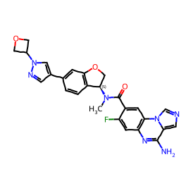 CN(C(=O)c1cc2c(cc1F)nc(N)c1cncn12)[C@@H]1COc2cc(-c3cnn(C4COC4)c3)ccc21